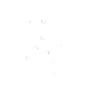 CC1(N)CCN(c2nc(O)c(-c3cccc(Cl)c3Cl)nc2C(=O)O)CC1